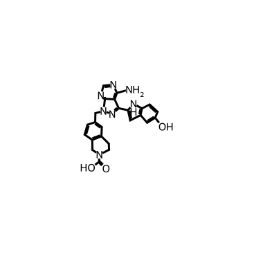 Nc1ncnc2c1c(-c1cc3cc(O)ccc3[nH]1)nn2Cc1ccc2c(c1)CCN(C(=O)O)C2